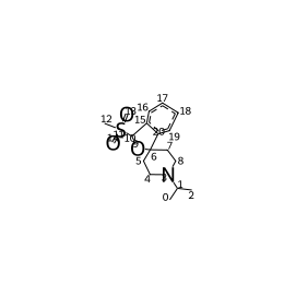 CC(C)N1CCC2(CC1)OC(S(C)(=O)=O)c1ccccc12